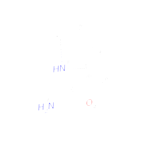 [CH2][C@@]1(C(N)=O)CCCN1